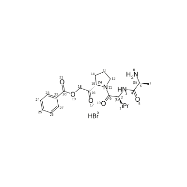 Br.CC(C)[C@H](NC(=O)[C@H](C)N)C(=O)N1CCC[C@H]1C(=O)COC(=O)c1ccccc1